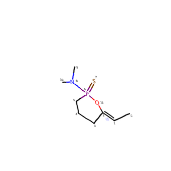 C/C=C1/CCCP(=S)(N(C)C)O1